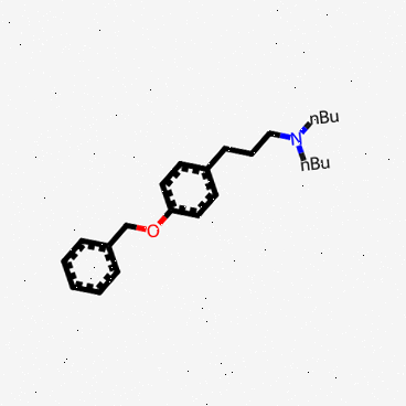 CCCCN(CCCC)CCCc1ccc(OCc2ccccc2)cc1